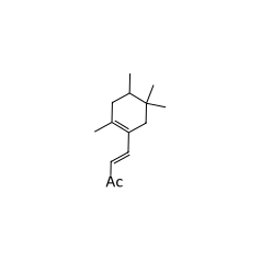 CC(=O)C=CC1=C(C)CC(C)C(C)(C)C1